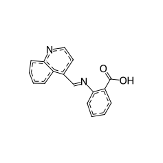 O=C(O)c1ccccc1/N=C/c1ccnc2ccccc12